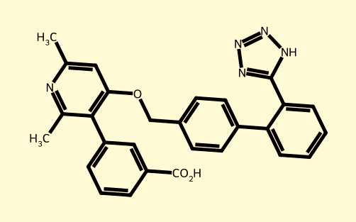 Cc1cc(OCc2ccc(-c3ccccc3-c3nnn[nH]3)cc2)c(-c2cccc(C(=O)O)c2)c(C)n1